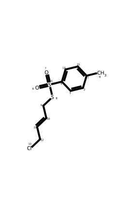 Cc1ccc(S(=O)(=O)SC/C=C/CCl)cc1